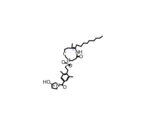 CCCCCCCCC/C1=C(\C)CCCCN(S(=O)(=O)CCc2c(C)cc(C(=O)N3CC[C@@H](O)C3)cc2C)CCC(=O)N1